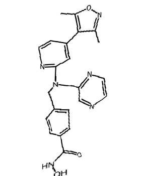 Cc1noc(C)c1-c1ccnc(N(Cc2ccc(C(=O)NO)cc2)c2cnccn2)c1